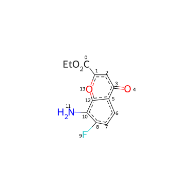 CCOC(=O)c1cc(=O)c2ccc(F)c(N)c2o1